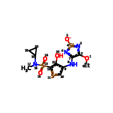 CCOc1n[s+]([O-])nc1Nc1csc(S(=O)(=O)N(C)C2CC2)c1O